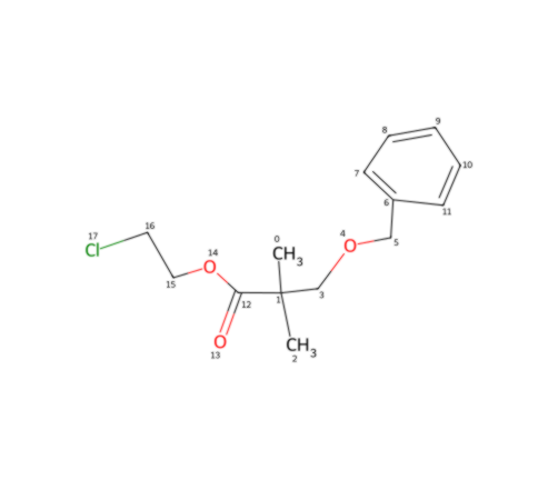 CC(C)(COCc1ccccc1)C(=O)OCCCl